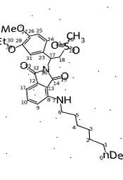 CCCCCCCCCCCCCCCCNc1cccc2c1C(=O)N(C(CS(C)(=O)=O)c1ccc(OC)c(OCC)c1)C2=O